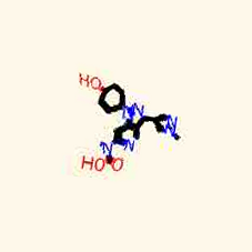 CN(C(=O)O)c1cc2c(cn1)c(-c1cnn(C)c1)nn2C1CCC(O)CC1